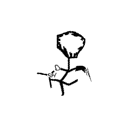 C[SiH](C)OC(C#N)(c1ccccc1)C(C)(C)C